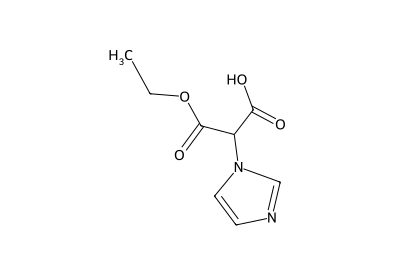 CCOC(=O)C(C(=O)O)n1ccnc1